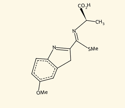 COc1ccc2c(c1)CC(/C(=N/[C@H](C)C(=O)O)SC)=N2